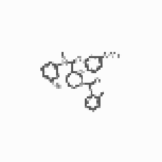 COc1ccc([C@H]2C(C(=O)N(C)c3cccc(C(C)(C)C)c3)CCCN2C(=O)c2ccccc2C)cc1